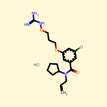 C=CCN(C(=O)c1cc(Cl)cc(OCCCONC(=N)N)c1)C1CCCC1.Cl